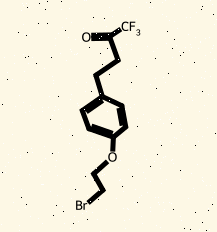 O=C(CCc1ccc(OCCBr)cc1)C(F)(F)F